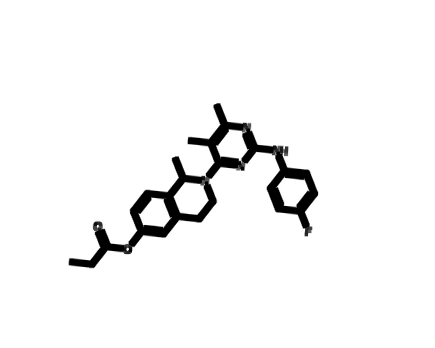 CCC(=O)Oc1ccc2c(c1)CCN(c1nc(Nc3ccc(F)cc3)nc(C)c1C)C2C